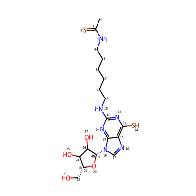 CC(=S)NCCCCCCNc1nc(S)c2ncn([C@@H]3O[C@H](CO)C(O)C3O)c2n1